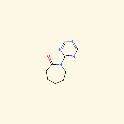 O=C1CCCCCN1c1ncncn1